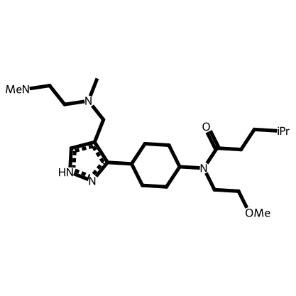 CNCCN(C)Cc1c[nH]nc1C1CCC(N(CCOC)C(=O)CCC(C)C)CC1